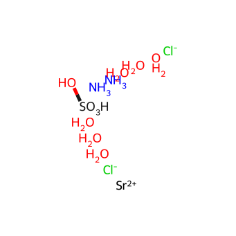 N.N.O.O.O.O.O.O.O=S(=O)(O)O.[Cl-].[Cl-].[Sr+2]